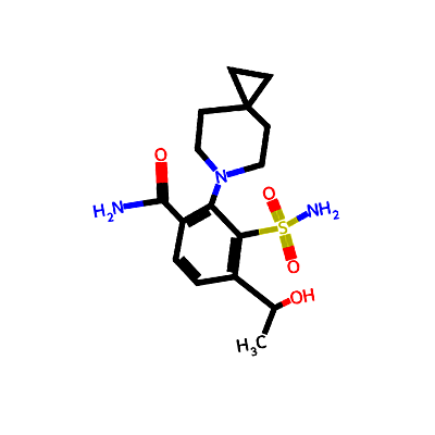 CC(O)c1ccc(C(N)=O)c(N2CCC3(CC2)CC3)c1S(N)(=O)=O